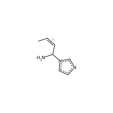 C/C=C\C(N)n1ccnc1